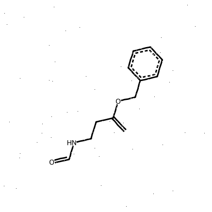 C=C(CCNC=O)OCc1ccccc1